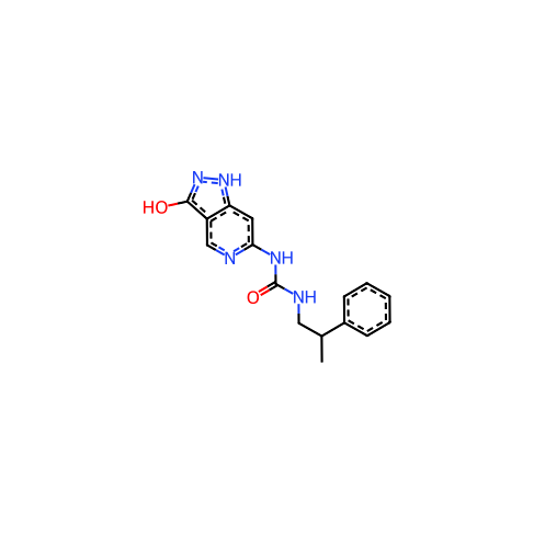 CC(CNC(=O)Nc1cc2[nH]nc(O)c2cn1)c1ccccc1